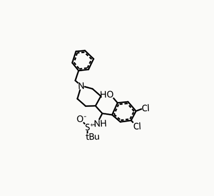 CC(C)(C)[S+]([O-])NC(c1cc(Cl)c(Cl)cc1O)C1CCN(Cc2ccccc2)CC1